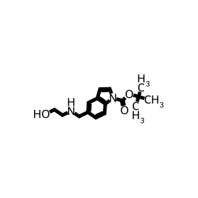 CC(C)(C)OC(=O)n1ccc2cc(CNCCO)ccc21